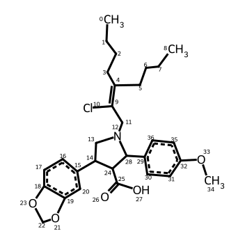 CCCCC(CCCC)=C(Cl)CN1CC(c2ccc3c(c2)OCO3)C(C(=O)O)C1c1ccc(OC)cc1